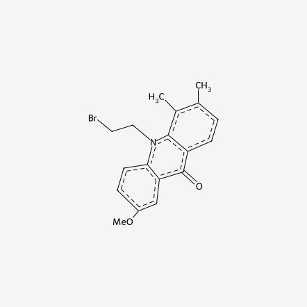 COc1ccc2c(c1)c(=O)c1ccc(C)c(C)c1n2CCBr